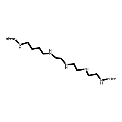 CCCCCCNCCNCCNCCNCCCCNCCCCC